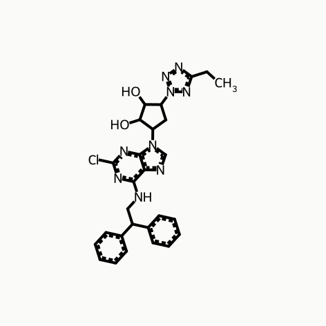 CCc1nnn(C2CC(n3cnc4c(NCC(c5ccccc5)c5ccccc5)nc(Cl)nc43)C(O)C2O)n1